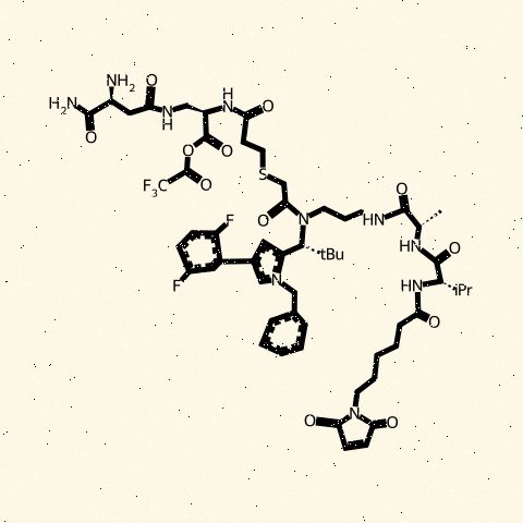 CC(C)[C@H](NC(=O)CCCCCN1C(=O)C=CC1=O)C(=O)N[C@@H](C)C(=O)NCCCN(C(=O)CSCCC(=O)N[C@H](CNC(=O)C[C@H](N)C(N)=O)C(=O)OC(=O)C(F)(F)F)[C@@H](c1cc(-c2cc(F)ccc2F)cn1Cc1ccccc1)C(C)(C)C